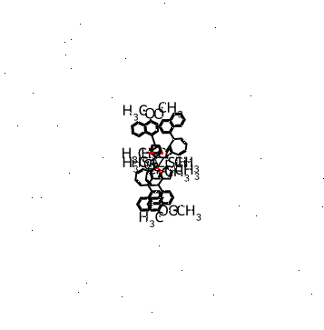 COc1ccc(C2C=CC=CC3=C2C=C(C)[C]32[SiH](C)[C]3(C(C)=CC4=C3C=CC=CC4c3ccc(OC)c4ccccc34)[Zr]23([Cl])([Cl])[C]2(C(C)=CC4=C2C=CC=CC4c2ccc(OC)c4ccccc24)[SiH](C)[C]32C(C)=CC3=C2C=CC=CC3c2ccc(OC)c3ccccc23)c2ccccc12